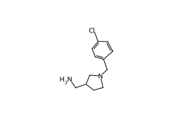 NCC1CCN(Cc2ccc(Cl)cc2)C1